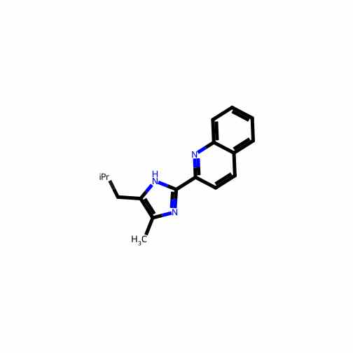 Cc1nc(-c2ccc3ccccc3n2)[nH]c1CC(C)C